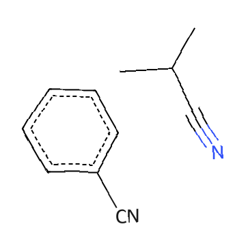 CC(C)C#N.N#Cc1ccccc1